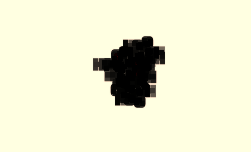 CCN(C(P(=O)(O)O)P(=O)(O)O)C(N(CC(=O)O)C(N(CC)C(P(=O)(O)O)P(=O)(O)O)(P(=O)(O)O)P(=O)(O)O)(P(=O)(O)O)P(=O)(O)O